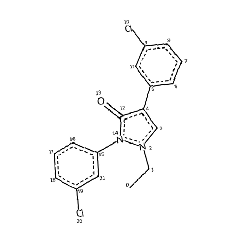 CCn1cc(-c2cccc(Cl)c2)c(=O)n1-c1cccc(Cl)c1